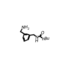 CCCCC(=O)NCc1cccc(CN)c1